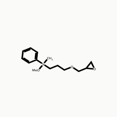 CO[Si](C)(CCCOCC1CO1)c1ccccc1